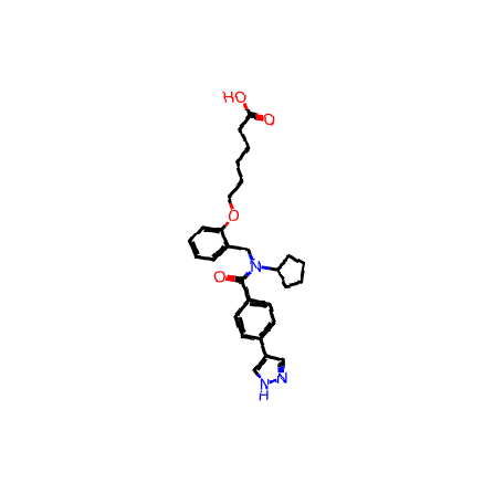 O=C(O)CCCCCOc1ccccc1CN(C(=O)c1ccc(-c2cn[nH]c2)cc1)C1CCCC1